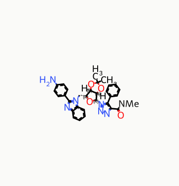 CNC(=O)c1nnn([C@@H]2O[C@H](Cn3c(-c4ccc(N)cc4)nc4ccccc43)[C@H]3OC(C)(C)O[C@H]32)c1-c1ccccc1